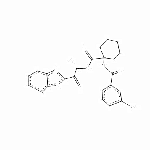 CCC[C@H](NC(=O)C1(NC(=O)c2cccc(NC)c2)CCCCC1)C(=O)c1nc2ccccc2o1